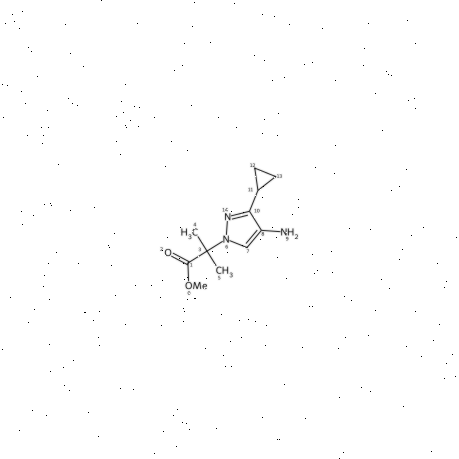 COC(=O)C(C)(C)n1cc(N)c(C2CC2)n1